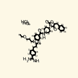 CCOCCCn1c(CCc2ccc(C(=N)N)cc2)nc2cc(C(=O)NN3CCC(N4C(=O)OC(Cc5ccccc5)C4=O)CC3)ccc21.Cl.Cl